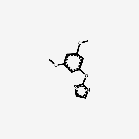 COc1cc(OC)cc(Oc2n[c]cs2)c1